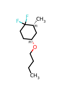 CCCCO[C@@H]1CCC(F)(F)[C@H](C)C1